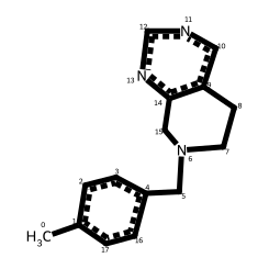 Cc1ccc(CN2CCc3cncnc3C2)cc1